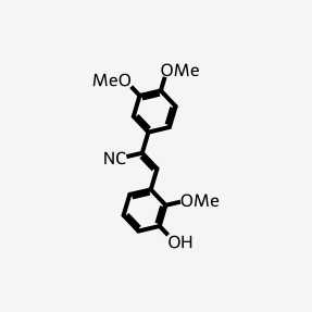 COc1ccc(C(C#N)=Cc2cccc(O)c2OC)cc1OC